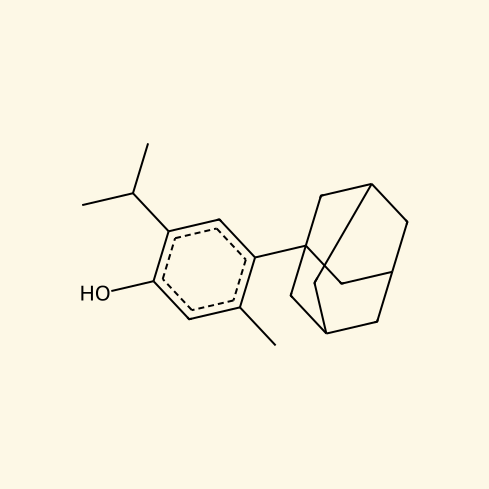 Cc1cc(O)c(C(C)C)cc1C12CC3CC(CC(C3)C1)C2